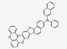 c1ccc(N(c2ccc3ccccc3c2)c2ccc3c(ccc4c5cc6c(cc5sc34)B3c4ccccc4Oc4cccc(c43)O6)c2)cc1